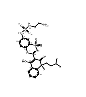 CC(C)CCC1(C)C(=O)C(C2=NS(=O)(=O)c3cc(NS(=O)(=O)NCCN)ccc3N2)=C(O)c2ccccc21